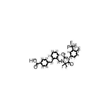 CC1(C)C(=O)N(c2ccc(F)c(C(F)(F)F)c2)C(=O)N1Cc1ccccc1Cc1ccc(C(=O)O)cc1